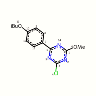 COc1nc(Cl)nc(-c2ccc(OCC(C)C)cc2)n1